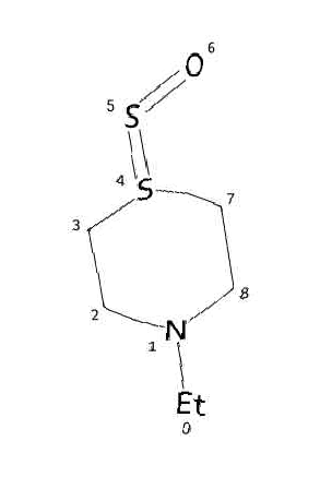 [CH2]CN1CCS(=S=O)CC1